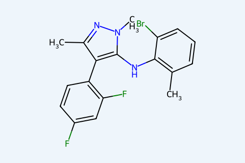 Cc1cccc(Br)c1Nc1c(-c2ccc(F)cc2F)c(C)nn1C